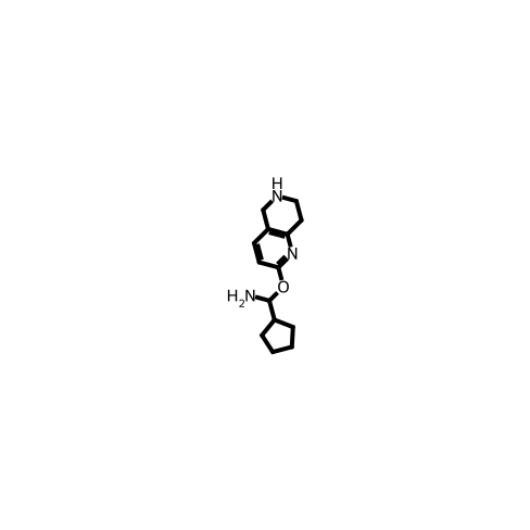 NC(Oc1ccc2c(n1)CCNC2)C1CCCC1